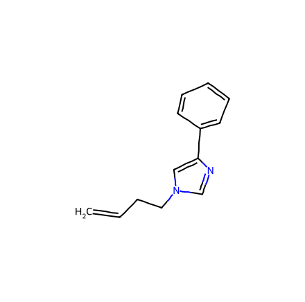 C=CCCn1cnc(-c2ccccc2)c1